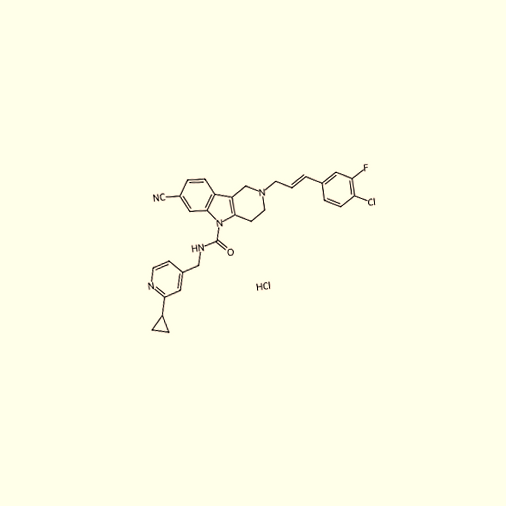 Cl.N#Cc1ccc2c3c(n(C(=O)NCc4ccnc(C5CC5)c4)c2c1)CCN(C/C=C/c1ccc(Cl)c(F)c1)C3